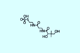 CC(C)(CO)C(O)C(=O)NCCC(=O)NCCSS(=O)(=O)O